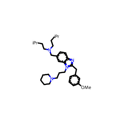 COc1cccc(Cc2nc3ccc(CN(CCC(C)C)CCC(C)C)cc3n2CCCN2CCCCC2)c1